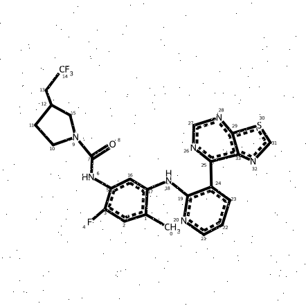 Cc1cc(F)c(NC(=O)N2CCC(CC(F)(F)F)C2)cc1Nc1ncccc1-c1ncnc2scnc12